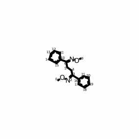 CON=C(CCC(=NOC)c1ccccc1)c1ccccc1